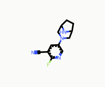 N#Cc1cc(N2CC3CCC(C2)N3)cnc1F